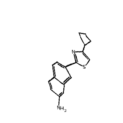 Nc1ccc2ccc(-c3nc(C4CCC4)cs3)cc2c1